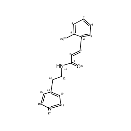 O=C(C=Cc1ccccc1F)NCCc1ccncc1